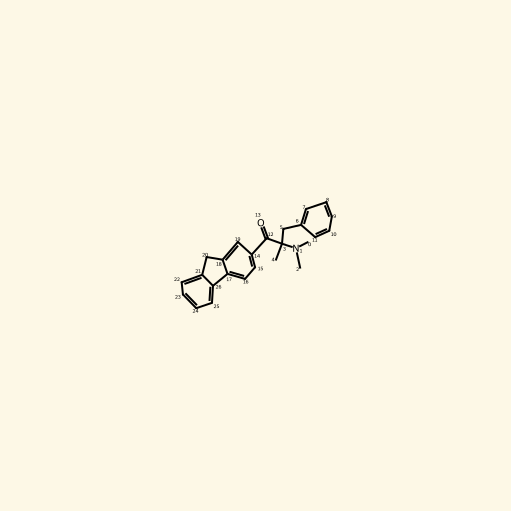 CN(C)C(C)(Cc1ccccc1)C(=O)c1ccc2c(c1)Cc1ccccc1-2